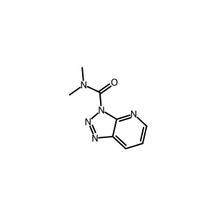 CN(C)C(=O)n1nnc2cccnc21